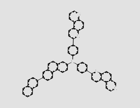 c1ccc2cc(-c3ccc4c(ccc5cc(N(c6ccc(-c7ccc8c(ccc9cnccc98)n7)cc6)c6ccc(-c7ccc8c(ccc9ncccc98)n7)cc6)ccc54)c3)ccc2c1